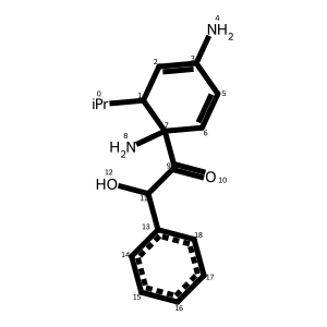 CC(C)C1C=C(N)C=CC1(N)C(=O)C(O)c1ccccc1